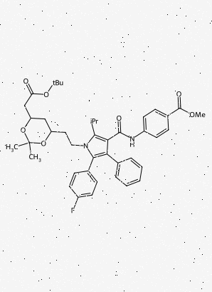 COC(=O)c1ccc(NC(=O)c2c(-c3ccccc3)c(-c3ccc(F)cc3)n(CCC3CC(CC(=O)OC(C)(C)C)OC(C)(C)O3)c2C(C)C)cc1